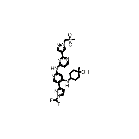 CC1(O)CCC(Nc2cc(Nc3ccnc(-c4cnn(CS(C)(=O)=O)c4)n3)ncc2-c2ccn(C(F)F)n2)CC1